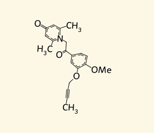 CC#CCOc1cc(C(=O)Cn2c(C)cc(=O)cc2C)ccc1OC